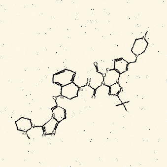 C[C@H]1CCCCN1c1nnc2ccc(O[C@@H]3CC[C@H](NC(=O)N(OC=O)c4cc(C(C)(C)C)nn4-c4cc(CN5CCN(C)CC5)ccc4F)c4ccccc43)cn12